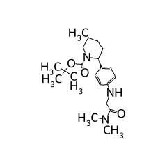 C[C@H]1CC[C@@H](c2ccc(NCC(=O)N(C)C)cc2)N(C(=O)OC(C)(C)C)C1